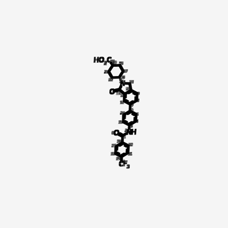 O=C(Nc1ccc(-c2ccc3c(c2)C(=O)N([C@H]2CC[C@H](C(=O)O)CC2)C3)cc1)c1ccc(C(F)(F)F)cc1